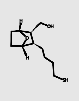 OC[C@@H]1[C@H](CCCCS)[C@@H]2CC[C@H]1O2